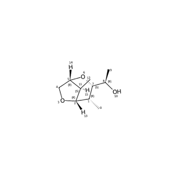 C[C@@H]1[C@@H]2OC[C@H](O[C@@H]1[C@@H](C)O)[C@H]2C